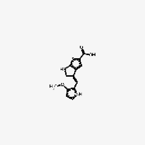 COc1cc[nH]c1/C=C1\CNc2sc(C(=O)O)cc21